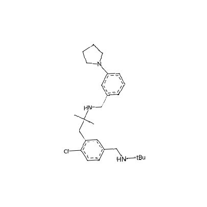 CC(C)(C)NCc1ccc(Cl)c(CC(C)(C)NCc2cccc(N3CCCC3)c2)c1